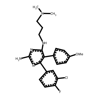 COc1ccc(-c2c(NCCCN(C)C)nc(N)nc2-c2ccc(F)c(Cl)c2)cc1